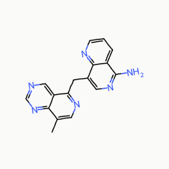 Cc1cnc(Cc2cnc(N)c3cccnc23)c2cncnc12